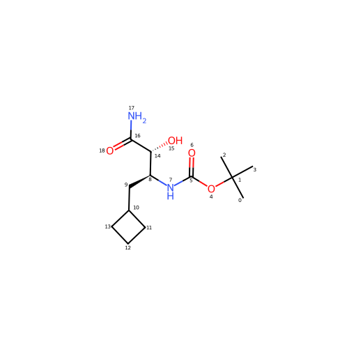 CC(C)(C)OC(=O)N[C@@H](CC1CCC1)[C@@H](O)C(N)=O